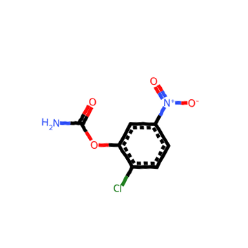 NC(=O)Oc1cc([N+](=O)[O-])ccc1Cl